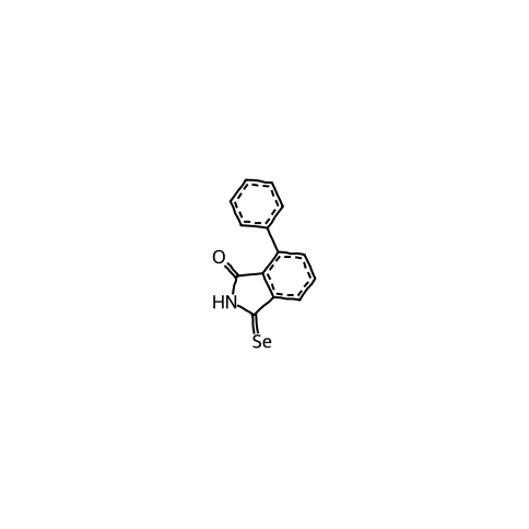 O=C1NC(=[Se])c2cccc(-c3ccccc3)c21